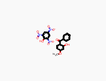 COc1ccc(C(=O)c2ccccc2)c(O)c1.O=[N+]([O-])c1cc([N+](=O)[O-])c(O)c([N+](=O)[O-])c1